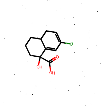 O=C(O)C1(O)CCCC2CC=C(Cl)C=C21